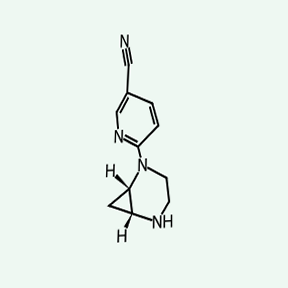 N#Cc1ccc(N2CCN[C@@H]3C[C@@H]32)nc1